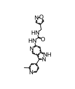 Cc1cc(-c2n[nH]c3cc(NC(=O)NCc4cnoc4)ncc23)ccn1